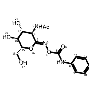 CC(=O)N[C@H]1/C(=N/OC(=O)Nc2ccccc2)O[C@H](CO)[C@@H](O)[C@@H]1O